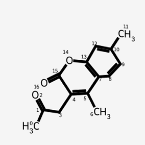 CC(=O)Cc1c(C)c2ccc(C)cc2oc1=O